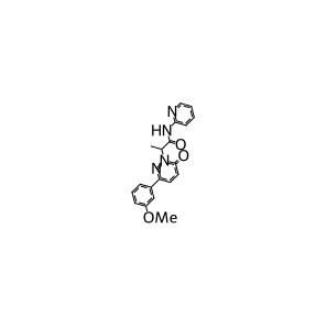 COc1cccc(-c2ccc(=O)n(C(C)C(=O)Nc3ccccn3)n2)c1